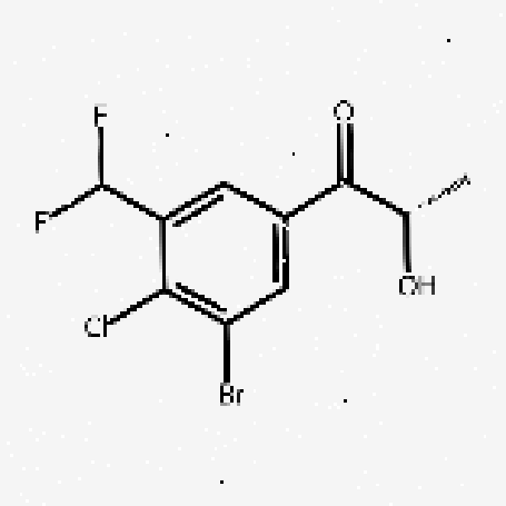 C[C@H](O)C(=O)c1cc(Br)c(Cl)c(C(F)F)c1